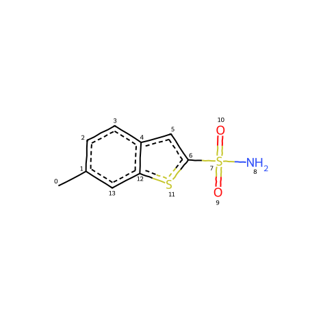 Cc1ccc2cc(S(N)(=O)=O)sc2c1